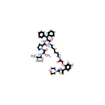 CN[C@@H](C)C(=O)N[C@@H](C)C(=O)N1CCCC1C(=O)N[C@H](C(=O)NCCCCCCNC(=O)COc1c(-c2csc(N3CCOCC3)n2)ccc(F)c1F)C(c1ccccc1)c1ccccc1